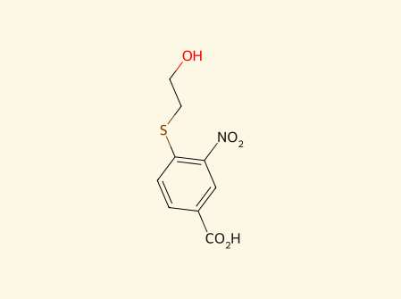 O=C(O)c1ccc(SCCO)c([N+](=O)[O-])c1